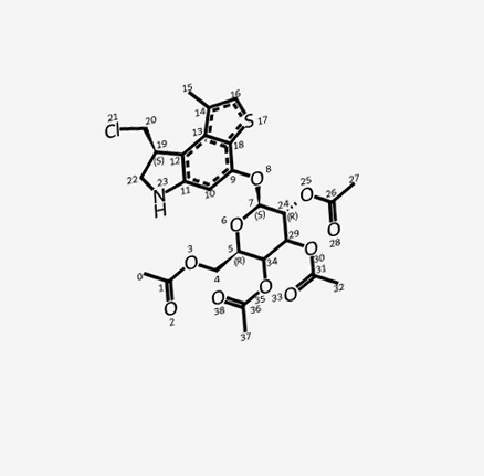 CC(=O)OC[C@H]1O[C@@H](Oc2cc3c(c4c(C)csc24)[C@H](CCl)CN3)[C@H](OC(C)=O)C(OC(C)=O)C1OC(C)=O